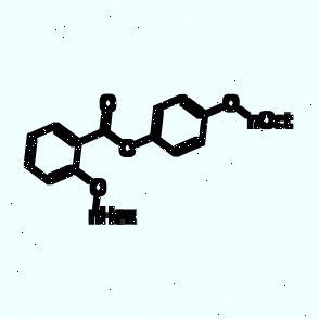 CCCCCCCCOc1ccc(OC(=O)c2ccccc2OCCCCCC)cc1